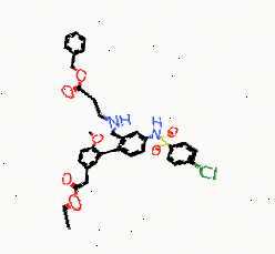 CCOC(=O)Cc1ccc(OC)c(-c2ccc(NS(=O)(=O)c3ccc(Cl)cc3)cc2CNCCC(=O)OCc2ccccc2)c1